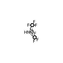 N=C1N(Cc2cc(F)c(F)cc2F)CCN1Cc1cc(F)c(F)cc1F